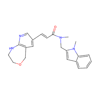 CN(Cc1cc2ccccc2n1C)C(=O)C=Cc1cnc2c(c1)COCCN2